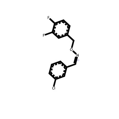 Fc1ccc(CO/N=[C]\c2cccc(Cl)c2)cc1F